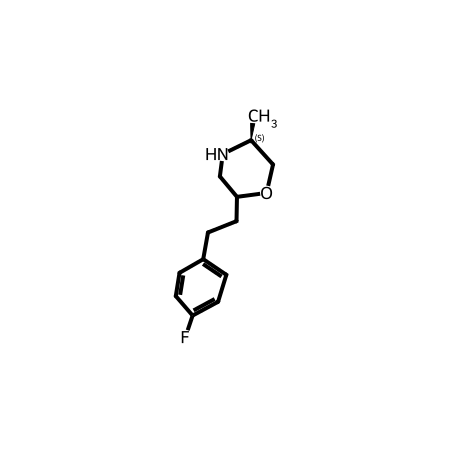 C[C@H]1COC(CCc2ccc(F)cc2)CN1